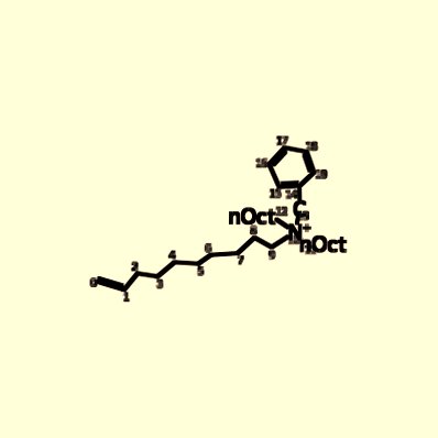 C=CCCCCCCCC[N+](CCCCCCCC)(CCCCCCCC)Cc1ccccc1